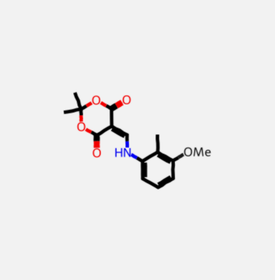 COc1cccc(NC=C2C(=O)OC(C)(C)OC2=O)c1C